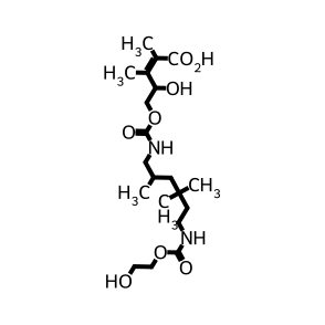 CC(C(=O)O)=C(C)C(O)COC(=O)NCC(C)CC(C)(C)CCNC(=O)OCCO